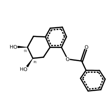 O=C(Oc1cccc2c1C[C@@H](O)[C@@H](O)C2)c1ccccc1